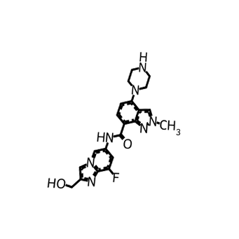 Cn1cc2c(N3CCNCC3)ccc(C(=O)Nc3cc(F)c4nc(CO)cn4c3)c2n1